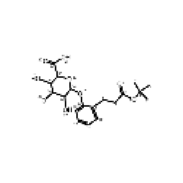 CC(C)(C)OC(=O)CCc1ccccc1OC1OC(C(=O)O)C(O)C(O)C1O